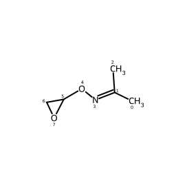 CC(C)=NOC1CO1